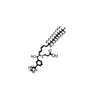 O=C(O)CCS[C@H](/C=C/C=C\CC(F)(F)C(F)(F)C(F)(F)C(F)(F)C(F)(F)C(F)(F)C(F)(F)C(F)(F)F)[C@@H](O)c1cccc(-c2nnn[nH]2)c1